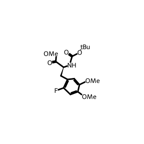 COC(=O)[C@H](Cc1cc(OC)c(OC)cc1F)NC(=O)OC(C)(C)C